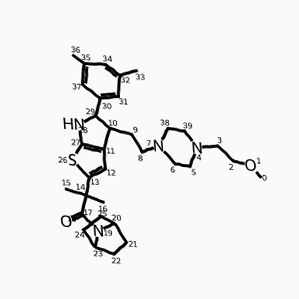 COCCN1CCN(CCC2c3cc(C(C)(C)C(=O)N4C5CCC4CC5)sc3NC2c2cc(C)cc(C)c2)CC1